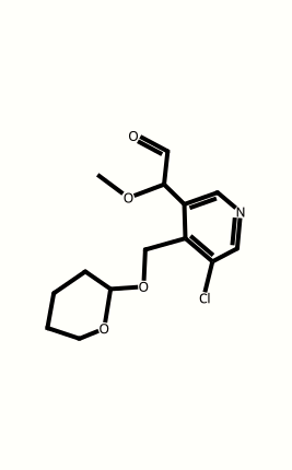 COC(C=O)c1cncc(Cl)c1COC1CCCCO1